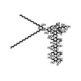 CCCCCCCCCCCCC/C=C/[C@@H](O)[C@H](CO[C@@H]1OC(CO)[C@@H](O[C@@H]2OC(CO)[C@H](O[C@@H]3OC(CO)[C@H](O)[C@H](O[C@@H]4OC(CO)[C@H](O)[C@H](O[C@@H]5OC(CO)[C@H](O)[C@H](O[C@H]6OC(CO)[C@H](O)[C@H](O)C6NC(C)=O)C5NC(C)=O)C4O)C3NC(C)=O)[C@H](O[C@]3(C(=O)O)CC(O)[C@@H](NC(C)=O)C([C@H](O)[C@H](O)CO)O3)C2O)[C@H](O)C1O)NC(=O)CCCCCCCCCCCCCCCCCCCCC